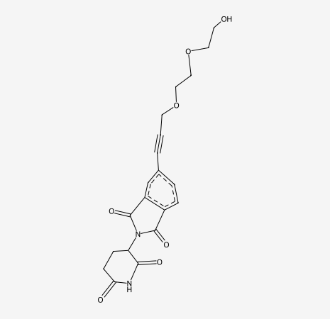 O=C1CCC(N2C(=O)c3ccc(C#CCOCCOCCO)cc3C2=O)C(=O)N1